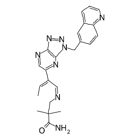 C/C=C(\C=N/CC(C)(C)C(N)=O)c1cnc2nnn(Cc3ccc4ncccc4c3)c2n1